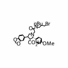 CCCCN(CCCBr)C(=O)CN1CC(c2ccc3c(c2)OCO3)[C@H](C(=O)O)[C@H]1c1ccc(OC)cc1